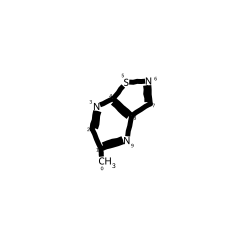 Cc1cnc2sncc2n1